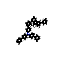 CC1(C)c2ccc(-c3ccccc3)cc2-c2cccc(-c3cccc(-c4ccc(N(c5ccc(-c6ccccc6)cc5)c5ccc(-c6ccccc6)cc5)cc4)c3)c21